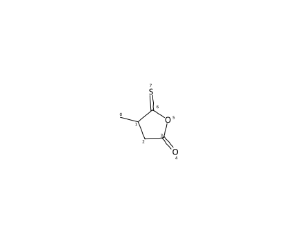 CC1CC(=O)OC1=S